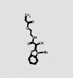 C=CC(=O)OCCNC(=O)/C(C#N)=C1\Sc2ccccc2N1CCCC